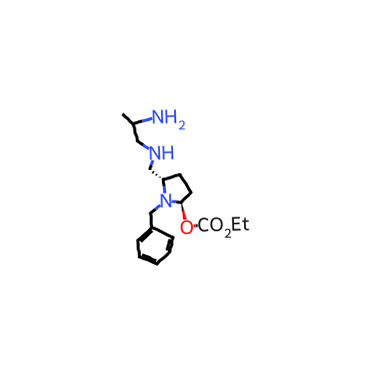 CCOC(=O)O[C@@H]1CC[C@@H](CNCC(C)N)N1Cc1ccccc1